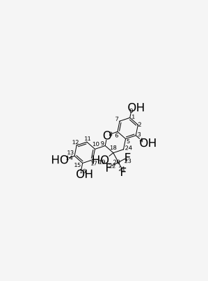 Oc1cc(O)c2c(c1)OC(c1ccc(O)c(O)c1)C(O)(C(F)(F)F)C2